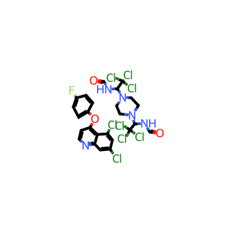 Fc1ccc(Oc2ccnc3cc(Cl)cc(Cl)c23)cc1.O=CNC(N1CCN(C(NC=O)C(Cl)(Cl)Cl)CC1)C(Cl)(Cl)Cl